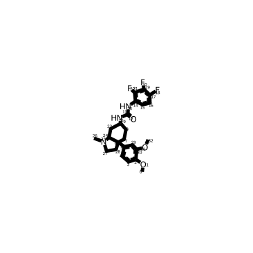 COc1ccc(C23CCC(NC(=O)Nc4ccc(F)c(F)c4F)CC2N(C)CC3)cc1OC